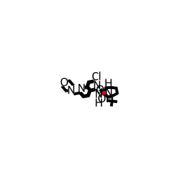 CC(C)(C)[C@@]12CC[C@@H](C[C@H](Nc3nc(Cl)cc4nc(CN5CCOCC5)ccc34)C1)N2C(=O)O